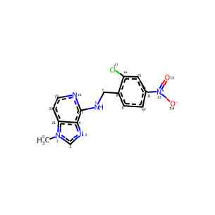 Cn1cnc2c(NCc3ccc([N+](=O)[O-])cc3Cl)nccc21